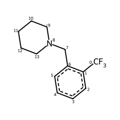 FC(F)(F)c1ccccc1CN1[CH]CCCC1